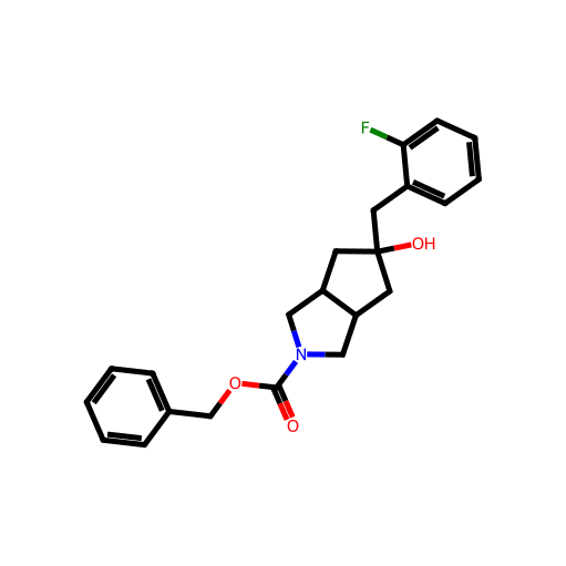 O=C(OCc1ccccc1)N1CC2CC(O)(Cc3ccccc3F)CC2C1